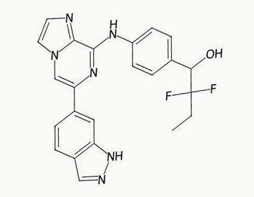 CCC(F)(F)C(O)c1ccc(Nc2nc(-c3ccc4cn[nH]c4c3)cn3ccnc23)cc1